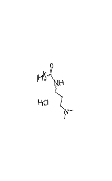 CN(C)CCCNC(=O)S.Cl